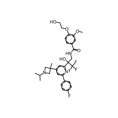 COc1cc(C(=O)NCC(O)(c2cc(C3(C)CN(C(C)C)C3)cc(-c3ccc(F)cc3)n2)C(F)(F)F)ccc1OCCO